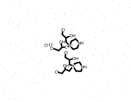 OC(CCl)C[N+]1(CC(O)CCl)CCNCC1.OC(CCl)C[N+]1(CC(O)CCl)CCNCC1.[Cl-].[Cl-]